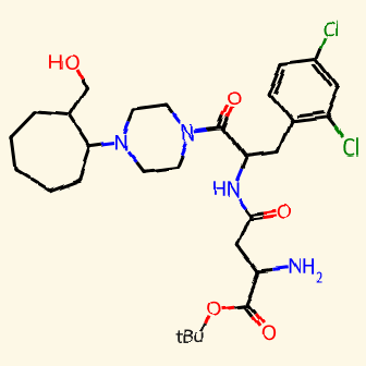 CC(C)(C)OC(=O)C(N)CC(=O)NC(Cc1ccc(Cl)cc1Cl)C(=O)N1CCN(C2CCCCCC2CO)CC1